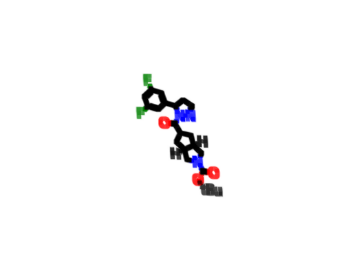 CC(C)(C)OC(=O)N1C[C@H]2CC(C(=O)N3N=CCC3c3cc(F)cc(F)c3)C[C@H]2C1